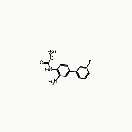 CC(C)(C)OC(=O)Nc1ccc(-c2cccc(F)c2)cc1N